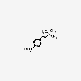 CCOC(=O)c1ccc(C=C[Si](C)(C)C)cc1